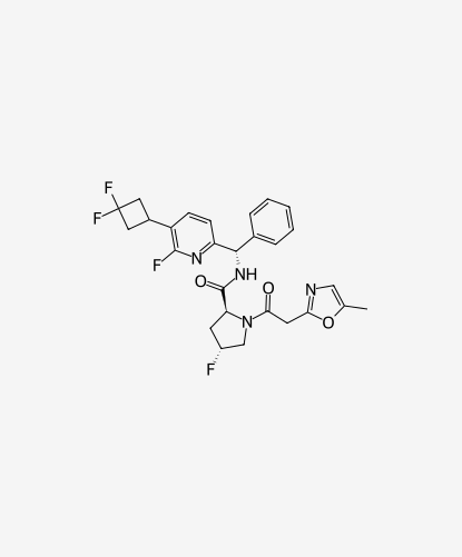 Cc1cnc(CC(=O)N2C[C@H](F)C[C@H]2C(=O)N[C@@H](c2ccccc2)c2ccc(C3CC(F)(F)C3)c(F)n2)o1